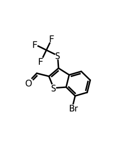 O=Cc1sc2c(Br)cccc2c1SC(F)(F)F